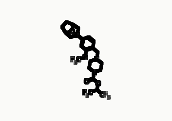 O=C(OC(C(F)(F)F)C(F)(F)F)N1CCN(Cc2ccc(N3CC4CCC(C3)O4)cc2OC(F)(F)F)CC1